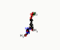 C=C(C(=O)OCCOc1ccc(CCc2ccc(-c3ccc(OC)c4nc(Nc5ccc6nc(CCOC)ncc6c5)sc34)cc2)cc1)C(F)(F)F